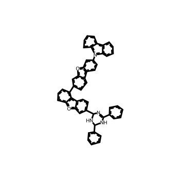 c1ccc(C2=NC(c3ccc4c(c3)oc3cccc(-c5ccc6c(c5)oc5cc(-n7c8ccccc8c8ccccc87)ccc56)c34)NC(c3ccccc3)N2)cc1